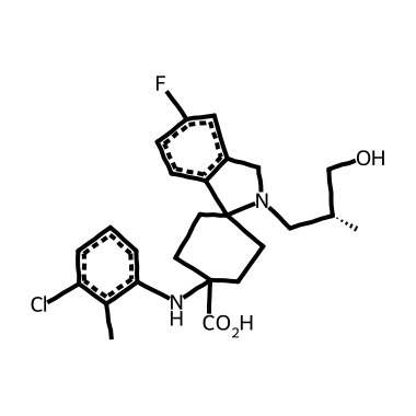 Cc1c(Cl)cccc1NC1(C(=O)O)CCC2(CC1)c1ccc(F)cc1CN2C[C@@H](C)CO